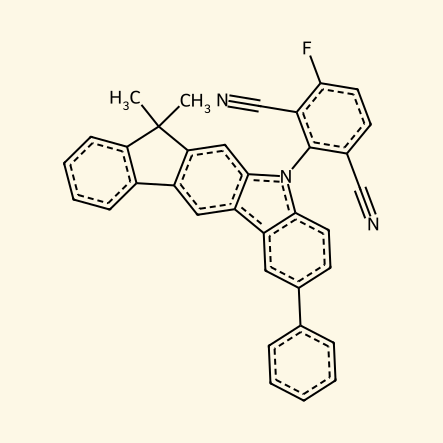 CC1(C)c2ccccc2-c2cc3c4cc(-c5ccccc5)ccc4n(-c4c(C#N)ccc(F)c4C#N)c3cc21